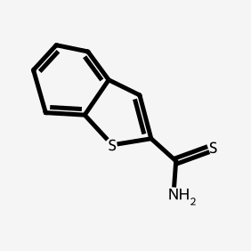 NC(=S)c1cc2ccccc2s1